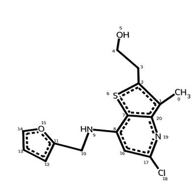 Cc1c(CCO)sc2c(NCc3ccco3)cc(Cl)nc12